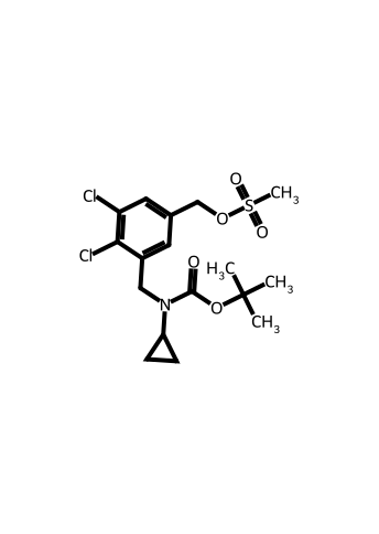 CC(C)(C)OC(=O)N(Cc1cc(COS(C)(=O)=O)cc(Cl)c1Cl)C1CC1